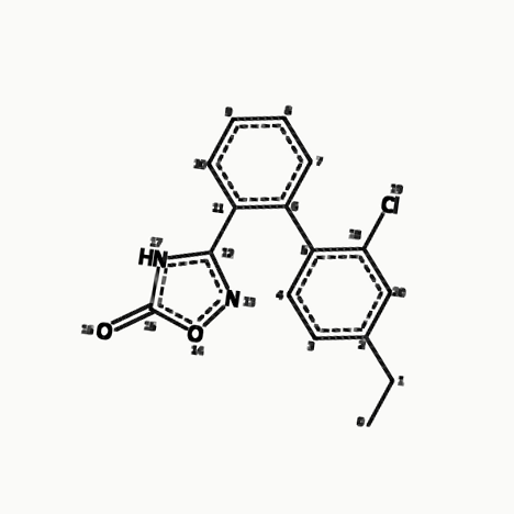 CCc1ccc(-c2ccccc2-c2noc(=O)[nH]2)c(Cl)c1